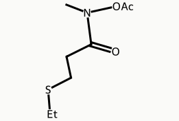 CCSCCC(=O)N(C)OC(C)=O